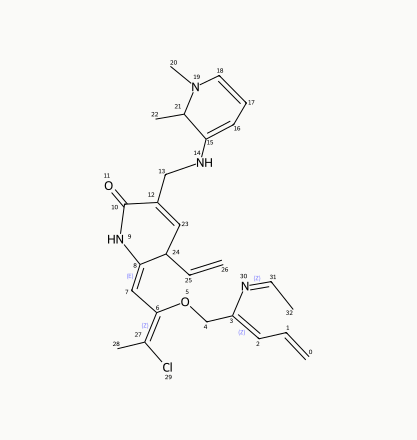 C=C/C=C(COC(/C=C1/NC(=O)C(CNC2=CC=CN(C)C2C)=CC1C=C)=C(/C)Cl)\N=C/C